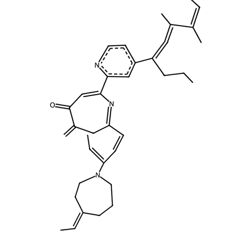 C=C1CC(/C=C\C(=C/C)N2CCC/C(=C/C)CC2)=NC(c2cc(C(=C=C(C)/C(C)=C\C)CCC)ccn2)=CC1=O